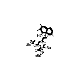 CCCCN(C)C(=O)C[C@@H](C[C@@H](CC[C@@H]1[C@@H]2C(=C[C@H](C)[C@H](C)[C@@H]2O)C=C[C@@H]1C)O[Si](C)(C)C(C)(C)C)O[Si](C)(C)C(C)(C)C